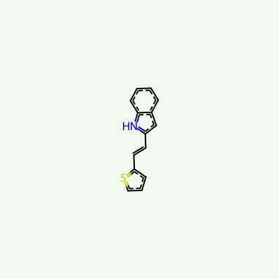 C(=Cc1cccs1)c1cc2ccccc2[nH]1